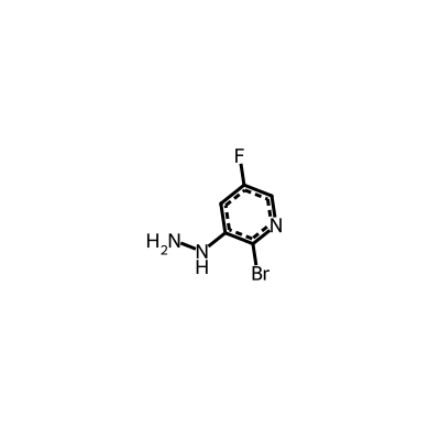 NNc1cc(F)cnc1Br